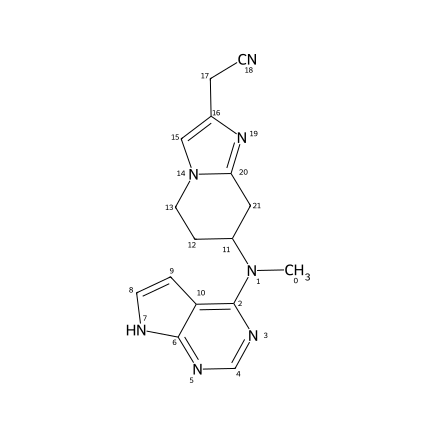 CN(c1ncnc2[nH]ccc12)C1CCn2cc(CC#N)nc2C1